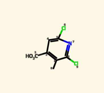 Cc1c(C(=O)O)cc(Cl)nc1Cl